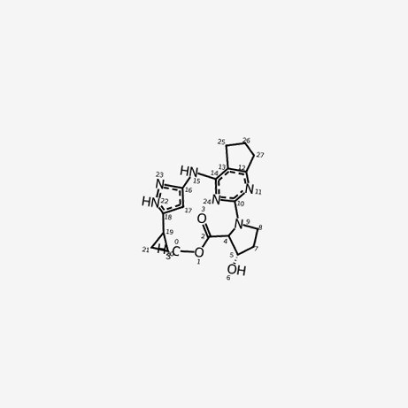 COC(=O)C1[C@@H](O)CCN1c1nc2c(c(Nc3cc(C4CC4)[nH]n3)n1)CCC2